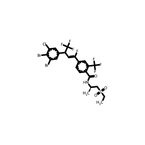 CCS(=O)(=O)C[C@@H](C)NC(=O)c1ccc(/C(F)=C/C(c2cc(Cl)c(Br)c(Br)c2)C(F)(F)F)cc1C(F)(F)F